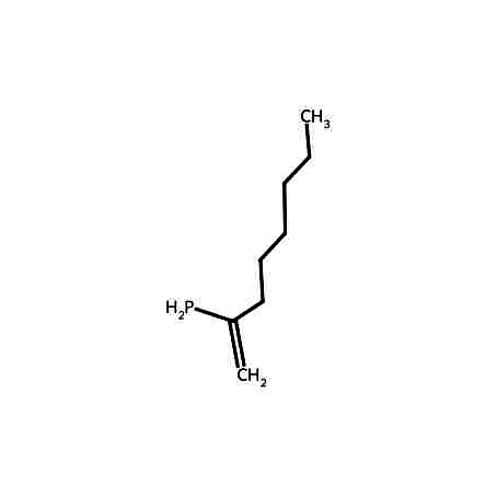 C=C(P)CCCCCC